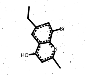 CCc1cc(Br)c2nc(C)cc(O)c2c1